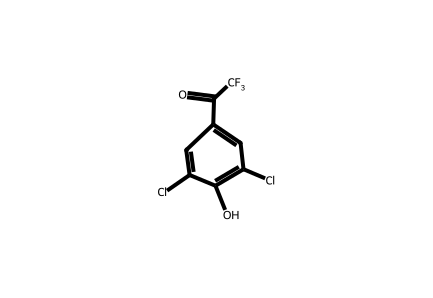 O=C(c1cc(Cl)c(O)c(Cl)c1)C(F)(F)F